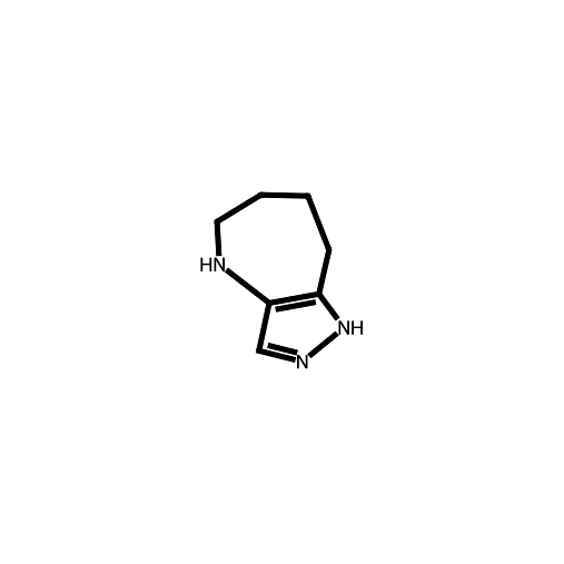 c1n[nH]c2c1NCCCC2